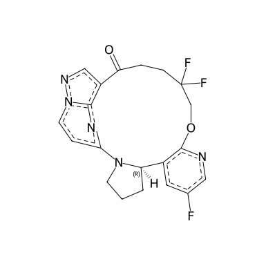 O=C1CCC(F)(F)COc2ncc(F)cc2[C@H]2CCCN2c2ccn3ncc1c3n2